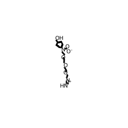 N=[N+]=NCCOCCOCCOCCN(C(=O)[O-])c1ccc(CO)cc1